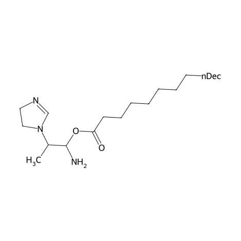 CCCCCCCCCCCCCCCCCC(=O)OC(N)C(C)N1C=NCC1